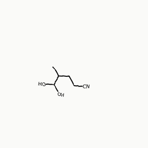 CC(CCC#N)[C](O)O